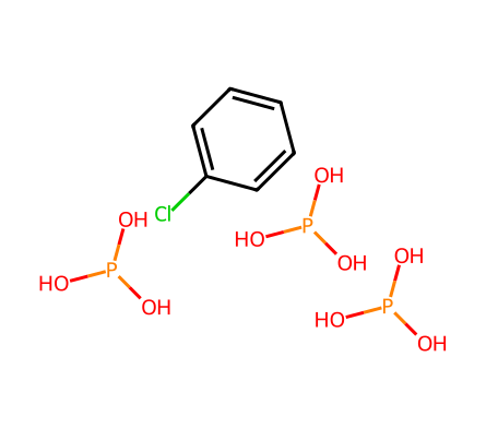 Clc1ccccc1.OP(O)O.OP(O)O.OP(O)O